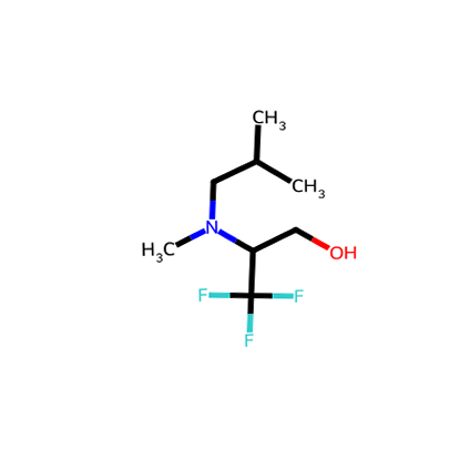 CC(C)CN(C)C(CO)C(F)(F)F